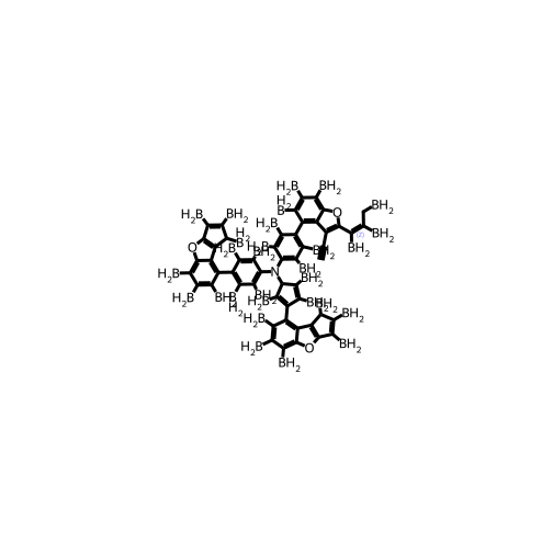 BC/C(B)=C(/B)c1oc2c(B)c(B)c(B)c(-c3c(B)c(B)c(N(c4c(B)c(B)c(-c5c(B)c(B)c(B)c6oc7c(c56)C(B)C(B)=C7B)c(B)c4B)C4C(B)=C(B)C(c5c(B)c(B)c(B)c6oc7c(c56)C(B)C(B)=C7B)=C4B)c(B)c3B)c2c1C#C